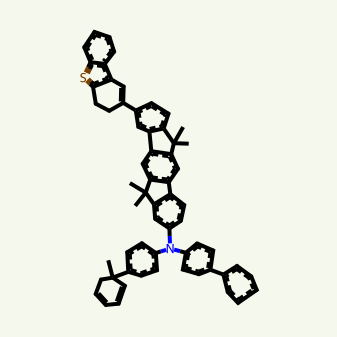 CC1(c2ccc(N(c3ccc(-c4ccccc4)cc3)c3ccc4c(c3)C(C)(C)c3cc5c(cc3-4)C(C)(C)c3ccc(C4=Cc6c(sc7ccccc67)CC4)cc3-5)cc2)C=CC=CC1